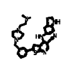 CN(C)CCN1CCN(Cc2cccc(-c3cc4c(Nc5ccc6[nH]ccc6c5)c(C#N)cnc4s3)c2)CC1